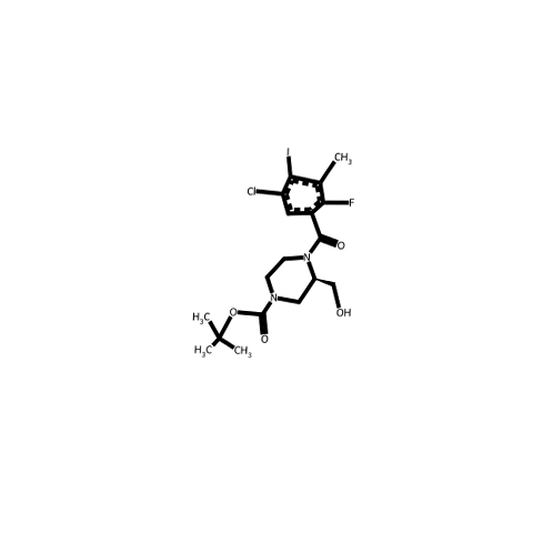 Cc1c(F)c(C(=O)N2CCN(C(=O)OC(C)(C)C)C[C@@H]2CO)cc(Cl)c1I